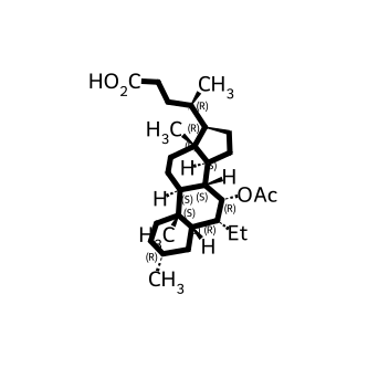 CC[C@H]1[C@@H](OC(C)=O)[C@@H]2[C@H](CC[C@]3(C)[C@@H]([C@H](C)CCC(=O)O)CC[C@@H]23)[C@@]2(C)CC[C@@H](C)C[C@@H]12